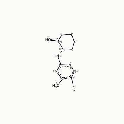 Cc1nc(N[C@H]2CCCC[C@@H]2O)nnc1Cl